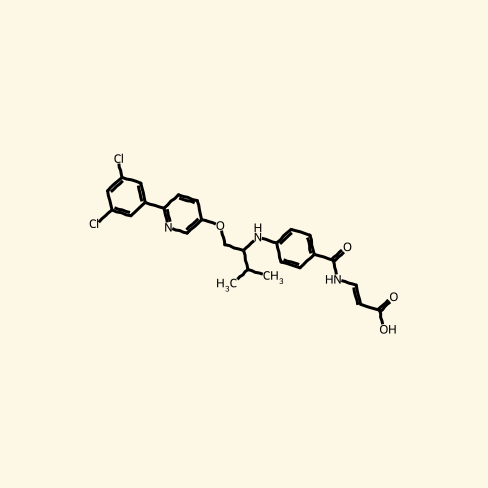 CC(C)C(COc1ccc(-c2cc(Cl)cc(Cl)c2)nc1)Nc1ccc(C(=O)NC=CC(=O)O)cc1